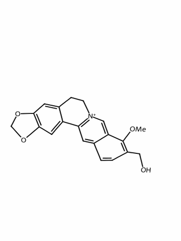 COc1c(CO)ccc2cc3[n+](cc12)CCc1cc2c(cc1-3)OCO2